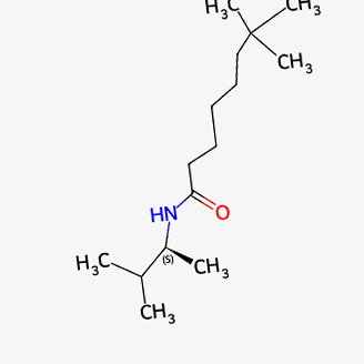 CC(C)[C@H](C)NC(=O)CCCCCC(C)(C)C